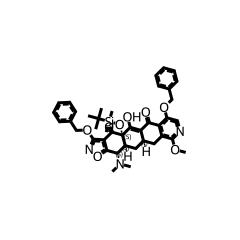 COc1ncc(OCc2ccccc2)c2c1C[C@H]1C[C@H]3[C@H](N(C)C)c4onc(OCc5ccccc5)c4C(=O)[C@@]3(O[Si](C)(C)C(C)(C)C)C(O)=C1C2=O